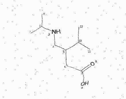 CC(C)NCC(CC(=O)O)C(C)C